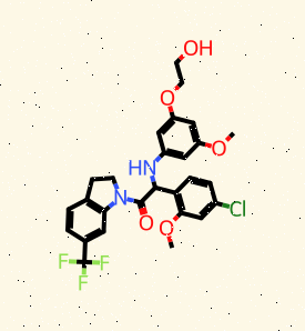 COc1cc(NC(C(=O)N2CCc3ccc(C(F)(F)F)cc32)c2ccc(Cl)cc2OC)cc(OCCO)c1